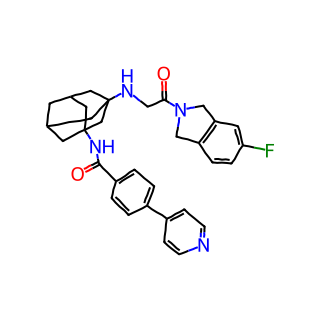 O=C(NC12CC3CC(CC(NCC(=O)N4Cc5ccc(F)cc5C4)(C3)C1)C2)c1ccc(-c2ccncc2)cc1